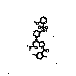 COc1ccccc1S(=O)(=O)Nc1cccc(N(CC(=O)N(C)C)C2CCN(C(=O)c3cc(C)ccc3C)C2)c1